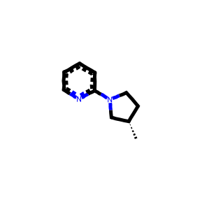 C[C@H]1CCN(c2ccccn2)C1